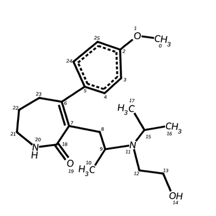 COc1ccc(C2=C(CC(C)N(CCO)C(C)C)C(=O)NCCC2)cc1